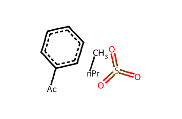 CC(=O)c1ccccc1.CCCC.O=S(=O)=O